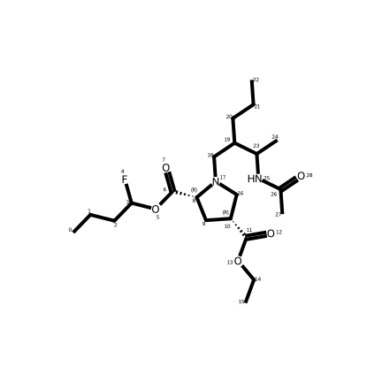 CCCC(F)OC(=O)[C@H]1C[C@@H](C(=O)OCC)CN1CC(CCC)C(C)NC(C)=O